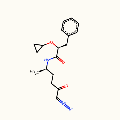 [N-]=[N+]=CC(=O)CC[C@H](NC(=O)[C@H](Cc1ccccc1)OC1CC1)C(=O)O